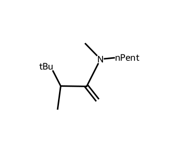 C=C(C(C)C(C)(C)C)N(C)CCCCC